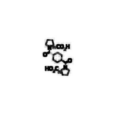 O=C(O)[C@H]1CCCN1C(=O)[C@H]1CC[C@H](C(=O)N2CCC[C@@H]2C(=O)O)CC1